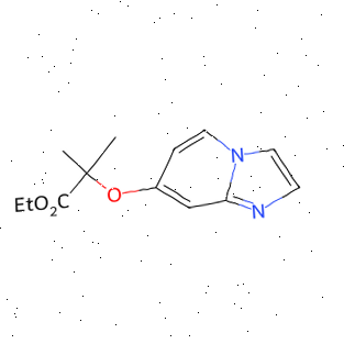 CCOC(=O)C(C)(C)Oc1ccn2ccnc2c1